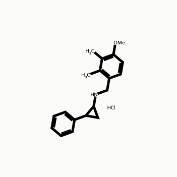 COc1ccc(CNC2CC2c2ccccc2)c(C)c1C.Cl